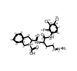 [N-]=[N+]=NCCC(NC(=O)C1Cc2ccccc2CN1C(=O)O)C(=O)Nc1ccc(Cl)c(Cl)c1F